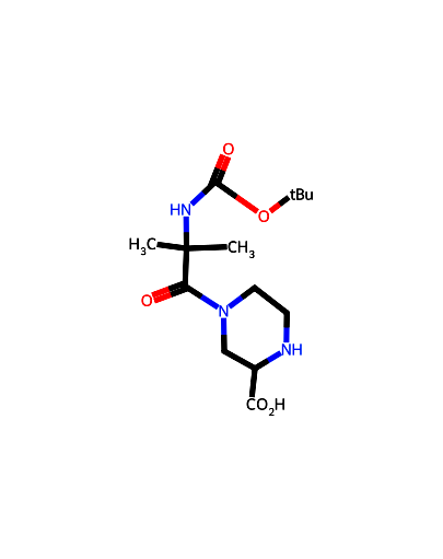 CC(C)(C)OC(=O)NC(C)(C)C(=O)N1CCNC(C(=O)O)C1